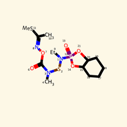 CCN(SN(C)C(=O)ON=C(C)SC)P1(=O)OC2CCCCC2O1